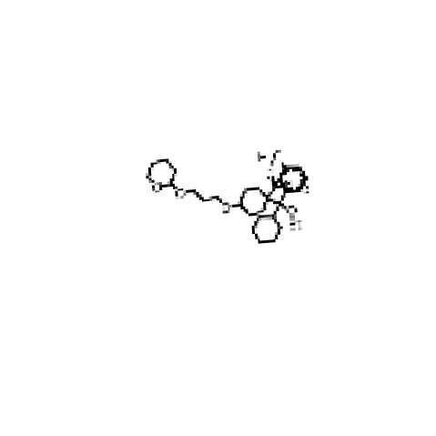 CCOC(c1cccc(C)c1)(C1CCCCC1)C1(C(N)=O)CCC(OCCCOC2CCCCO2)CC1